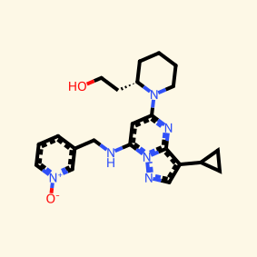 [O-][n+]1cccc(CNc2cc(N3CCCC[C@H]3CCO)nc3c(C4CC4)cnn23)c1